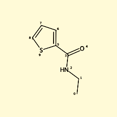 CCNC(=O)c1cc[c]s1